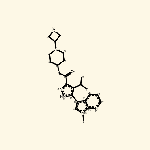 CC(C)c1c(C(=O)NC2CCN(C3COC3)CC2)n[nH]c1-c1cn(C)c2ncccc12